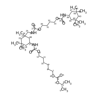 CC(C)OC(=O)OCCCCCCOC(=O)NC1CC(C)(C)CC(C)(CNC(=O)OCCCCOC(=O)NC2CC(C)(C)CC(C)(C)C2)C1